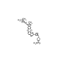 Cc1nc2ccc(Oc3ccc4ncc(-c5cnn(CC6CCN(C(N)=O)CC6)c5)nc4c3Cl)cc2n1COCC[Si](C)(C)C